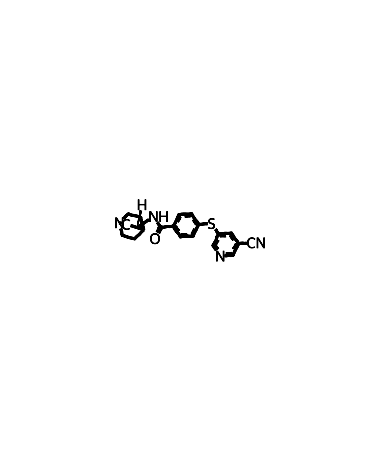 N#Cc1cncc(Sc2ccc(C(=O)N[C@H]3CN4CCC3CC4)cc2)c1